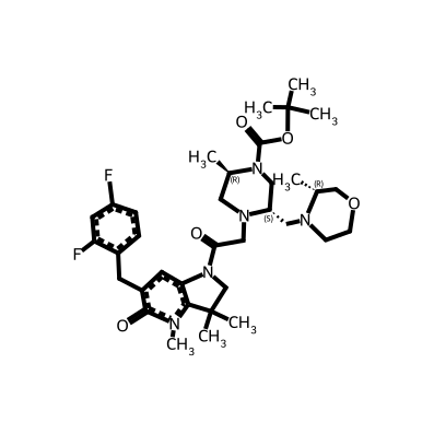 C[C@@H]1COCCN1C[C@H]1CN(C(=O)OC(C)(C)C)[C@H](C)CN1CC(=O)N1CC(C)(C)c2c1cc(Cc1ccc(F)cc1F)c(=O)n2C